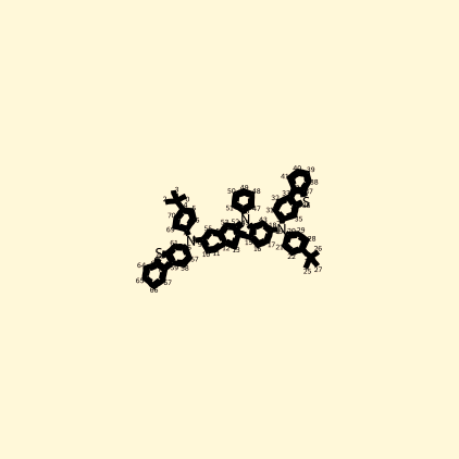 CC(C)(C)c1ccc(N(c2ccc3cc4c5ccc(N(c6ccc(C(C)(C)C)cc6)c6ccc7c(c6)sc6ccccc67)cc5n(-c5ccccc5)c4cc3c2)c2ccc3c(c2)sc2ccccc23)cc1